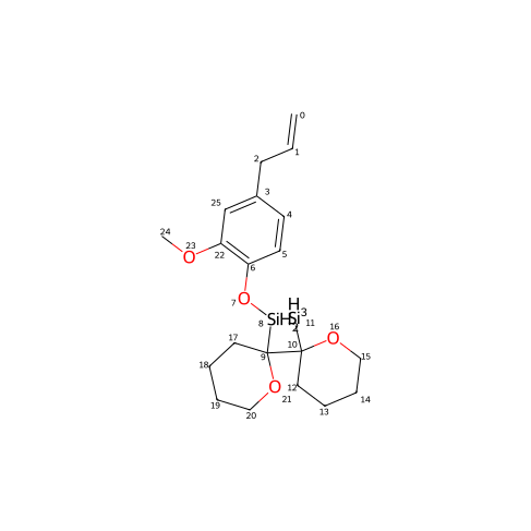 C=CCc1ccc(O[SiH2]C2(C3([SiH3])CCCCO3)CCCCO2)c(OC)c1